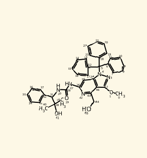 COc1nn(C(c2ccccc2)(c2ccccc2)c2ccccc2)c2cc(NC(=O)NC(c3ccccc3)C(C)(C)O)nc(CO)c12